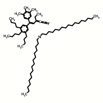 CCCCCCCCCCCCCCCC[CH2][Ni][CH2]CCCCCCCCCCCCCCCC.CCCCc1cc(C(=CC(=C=[N+]=[N-])CC)c2cc(C)c(C)c(C)c2)cc(CCCC)c1CCCC